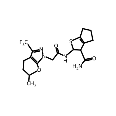 CC1CCc2c(C(F)(F)F)nn(CC(=O)NC3SC4=C(CCC4)C3C(N)=O)c2O1